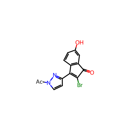 CC(=O)n1ccc(C2=C(Br)C(=O)c3cc(O)ccc32)n1